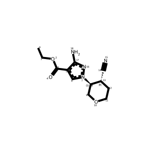 CCOC(=O)c1cn([C@@H]2COCC[C@H]2C#N)nc1N